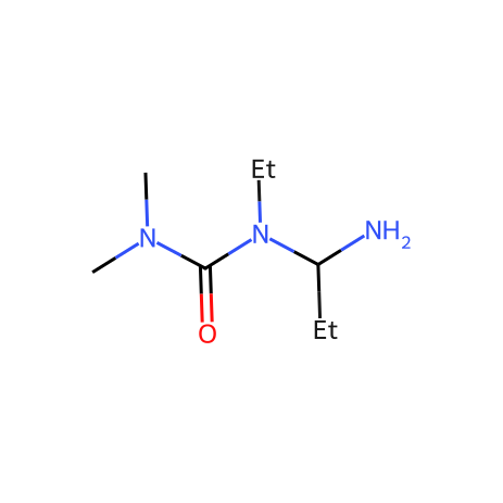 CCC(N)N(CC)C(=O)N(C)C